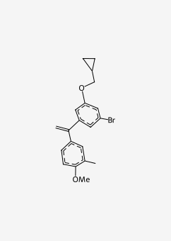 C=C(c1cc(Br)cc(OCC2CC2)c1)c1ccc(OC)c(C)c1